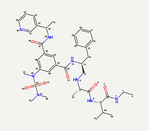 CCNC(=O)[C@@H](NC(=O)[C@H](C)NC[C@H](Cc1ccccc1)NC(=O)c1cc(C(=O)NC(C)c2cccnc2)cc(N(C)S(=O)(=O)N(C)C)c1)C(C)C